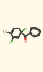 O=C(c1ccccc1)C1(Br)C=C(Br)C(C(F)(F)F)=CC1